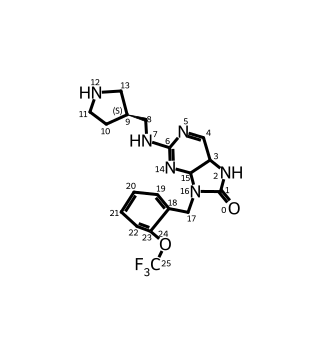 O=C1NC2C=NC(NC[C@H]3CCNC3)=NC2N1Cc1ccccc1OC(F)(F)F